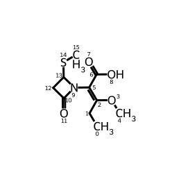 CC/C(OC)=C(/C(=O)O)N1C(=O)CC1SC